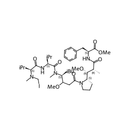 CCC(C)[C@@H](C(CC(=O)N1CCC[C@H]1[C@H](OC)[C@@H](C)C(=O)N[C@@H](Cc1ccccc1)C(=O)OC)OC)N(C)C(=O)[C@@H](NC(=O)[C@H](C(C)C)N(C)CI)C(C)C